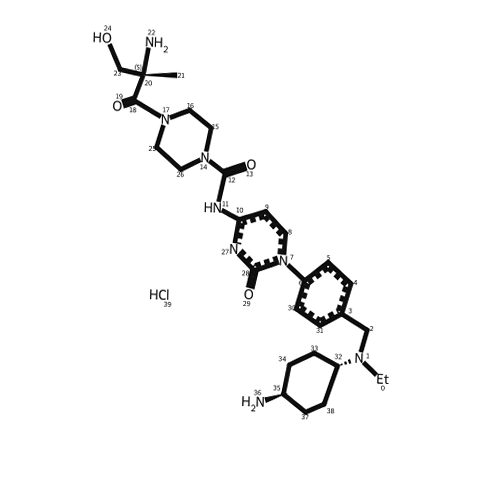 CCN(Cc1ccc(-n2ccc(NC(=O)N3CCN(C(=O)[C@@](C)(N)CO)CC3)nc2=O)cc1)[C@H]1CC[C@H](N)CC1.Cl